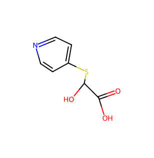 O=C(O)C(O)Sc1ccncc1